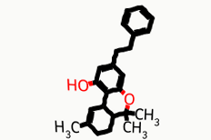 CC1=CC2c3c(O)cc(CCc4ccccc4)cc3OC(C)(C)C2CC1